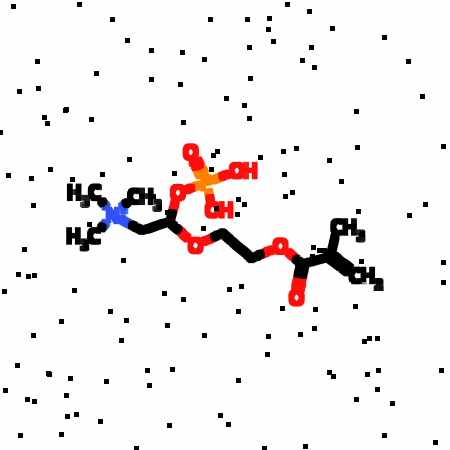 C=C(C)C(=O)OCCOC(C[N+](C)(C)C)OP(=O)(O)O